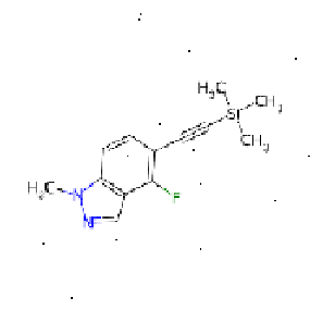 Cn1ncc2c(F)c(C#C[Si](C)(C)C)ccc21